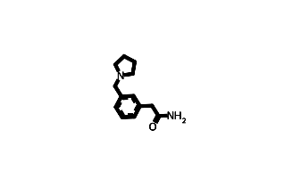 NC(=O)Cc1cccc(CN2CCCC2)c1